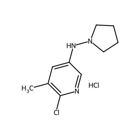 Cc1cc(NN2CCCC2)cnc1Cl.Cl